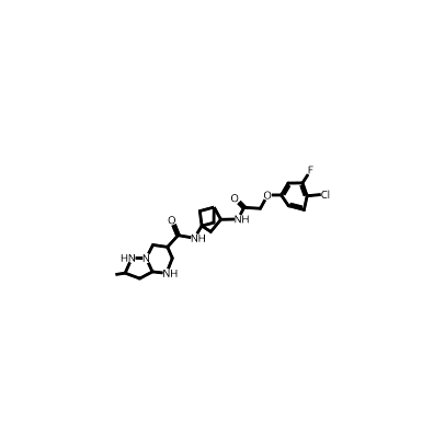 CC1CC2NCC(C(=O)NC34CC(C3)C(NC(=O)COc3ccc(Cl)c(F)c3)C4)CN2N1